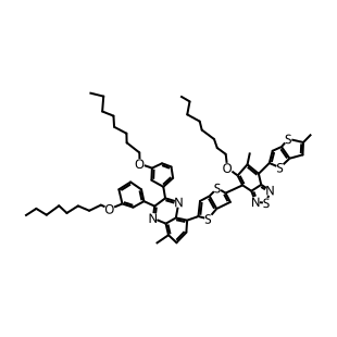 CCCCCCCCOc1cccc(-c2nc3c(C)ccc(-c4cc5sc(-c6c(OCCCCCCCC)c(C)c(-c7cc8sc(C)cc8s7)c7nsnc67)cc5s4)c3nc2-c2cccc(OCCCCCCCC)c2)c1